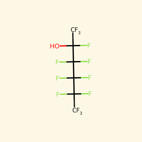 OC(F)(C(F)(F)F)C(F)(F)C(F)(F)C(F)(F)C(F)(F)F